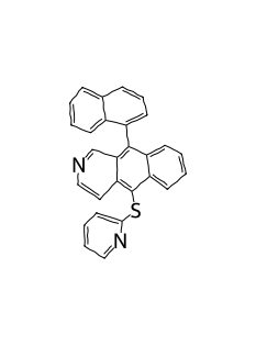 c1ccc(Sc2c3ccccc3c(-c3cccc4ccccc34)c3cnccc23)nc1